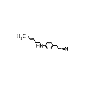 CCC=CCCNc1ccc(CCC#N)cc1